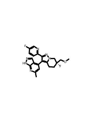 COC[C@@]1(F)CCc2c(-c3cc(C)nc4[nH]ncc34)c(-c3ccc(F)cn3)nn2C1